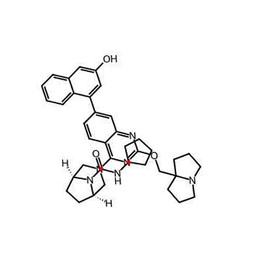 O=C(NC1CCCC1)N1[C@@H]2CC[C@H]1CN(c1nc(OCC34CCCN3CCC4)nc3cc(-c4cc(O)cc5ccccc45)ccc13)C2